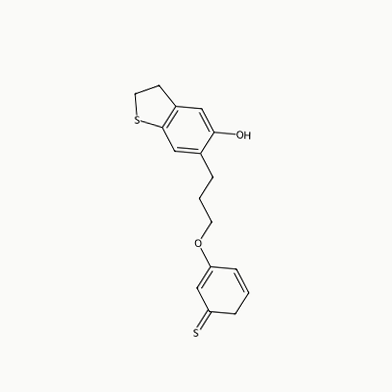 Oc1cc2c(cc1CCCOC1=CC(=S)CC=C1)SCC2